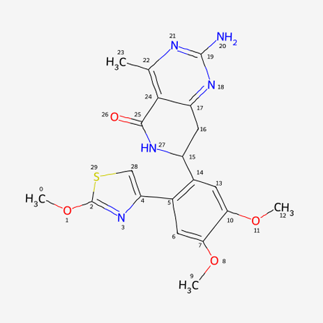 COc1nc(-c2cc(OC)c(OC)cc2C2Cc3nc(N)nc(C)c3C(=O)N2)cs1